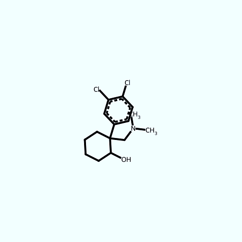 CN(C)CC1(c2ccc(Cl)c(Cl)c2)CCCCC1O